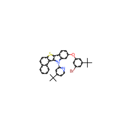 CC(C)(C)c1cc(Br)cc(Oc2ccc3c4sc5ccc6ccccc6c5c4n(-c4cc(C(C)(C)C)ccn4)c3c2)c1